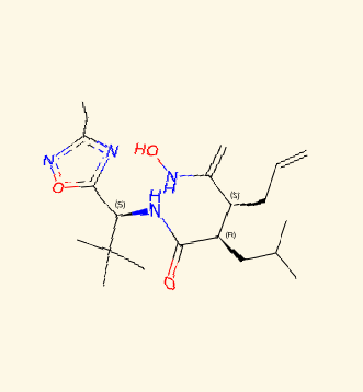 C=CC[C@H](C(=C)NO)[C@@H](CC(C)C)C(=O)N[C@H](c1nc(C)no1)C(C)(C)C